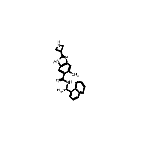 Cc1cc2nc(C3CNC3)[nH]c2cc1C(=O)N[C@H](C)c1cccc2ccccc12